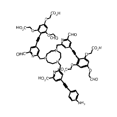 Nc1ccc(C#Cc2cc(CN3CCN(Cc4cc(C#Cc5c(OCC=O)cc(OCC(=O)O)cc5OCC(=O)O)cc(C=O)n4)CCN(Cc4cc(C#Cc5c(OCC(=O)O)cc(OCC=O)cc5OCC(=O)O)cc(C=O)n4)CC3)nc(C(=O)O)c2)cc1